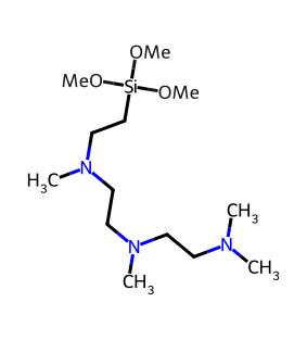 CO[Si](CCN(C)CCN(C)CCN(C)C)(OC)OC